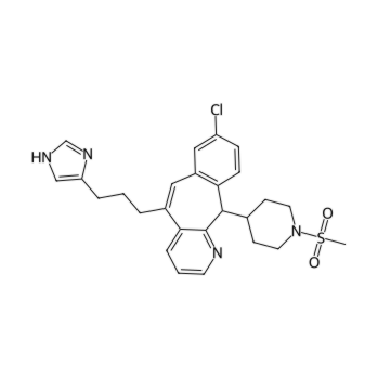 CS(=O)(=O)N1CCC(C2c3ccc(Cl)cc3C=C(CCCc3c[nH]cn3)c3cccnc32)CC1